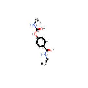 CCNC(=O)c1ccc(OC(=O)NC)cc1